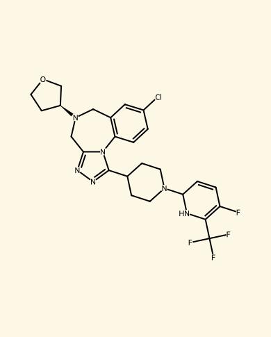 FC1=C(C(F)(F)F)NC(N2CCC(c3nnc4n3-c3ccc(Cl)cc3CN([C@H]3CCOC3)C4)CC2)C=C1